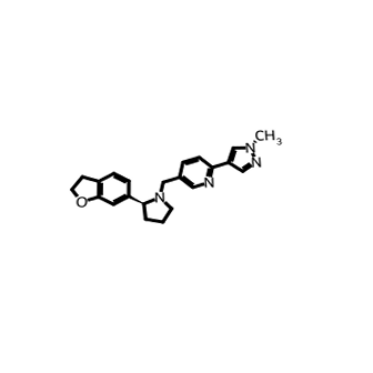 Cn1cc(-c2ccc(CN3CCC[C@H]3c3ccc4c(c3)OCC4)cn2)cn1